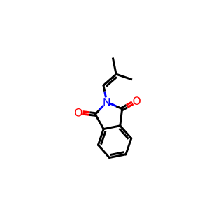 CC(C)=CN1C(=O)c2ccccc2C1=O